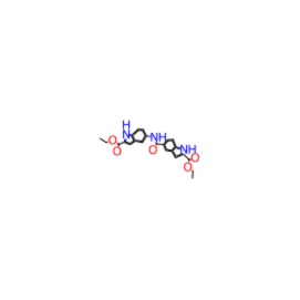 CCOC(=O)c1cc2cc(NC(=O)c3ccc4[nH]c(C(=O)OCC)cc4c3)ccc2[nH]1